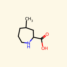 CC1CCCNC(C(=O)O)C1